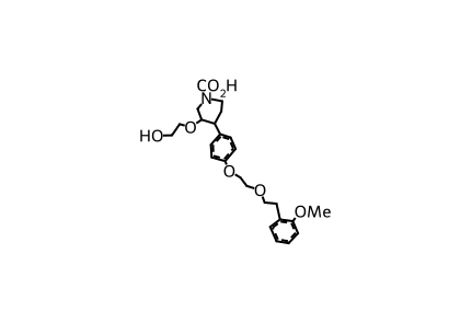 COc1ccccc1CCOCCOc1ccc(C2CCN(C(=O)O)CC2OCCO)cc1